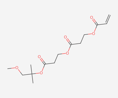 C=CC(=O)OCCC(=O)OCCC(=O)OC(C)(C)COC